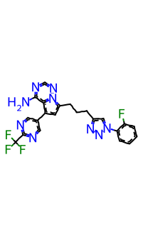 Nc1ncnn2c(CCCc3cn(-c4ccccc4F)nn3)cc(-c3cnc(C(F)(F)F)nc3)c12